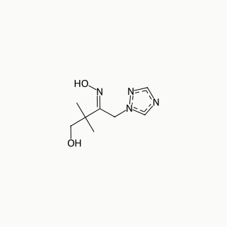 CC(C)(CO)C(Cn1cncn1)=NO